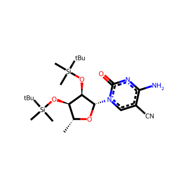 C[C@H]1O[C@@H](n2cc(C#N)c(N)nc2=O)[C@H](O[Si](C)(C)C(C)(C)C)[C@@H]1O[Si](C)(C)C(C)(C)C